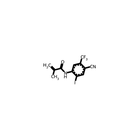 C=C(C)C(=O)Nc1cc(C(F)(F)F)c(C#N)cc1I